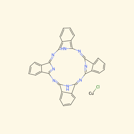 [Cl][Cu].c1ccc2c(c1)-c1nc-2nc2[nH]c(nc3nc(nc4[nH]c(n1)c1ccccc41)-c1ccccc1-3)c1ccccc21